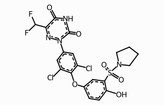 O=c1[nH]c(=O)n(-c2cc(Cl)c(Oc3ccc(O)c(S(=O)(=O)N4CCCC4)c3)c(Cl)c2)nc1C(F)F